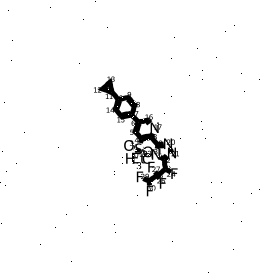 CCS(=O)(=O)c1cc(-c2ccc(C3CC3)cc2)cnc1-c1nnc(C(F)C(F)(F)C(F)F)n1C